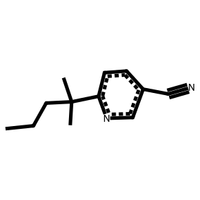 CCCC(C)(C)c1ccc(C#N)cn1